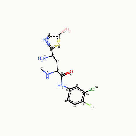 Bc1cnc(C(N)CC(NC)C(=O)Nc2ccc(F)c(Cl)c2)s1